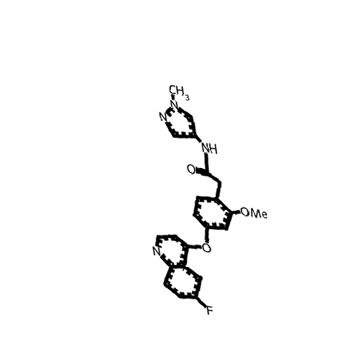 COc1cc(Oc2ccnc3ccc(F)cc23)ccc1CC(=O)Nc1cnn(C)c1